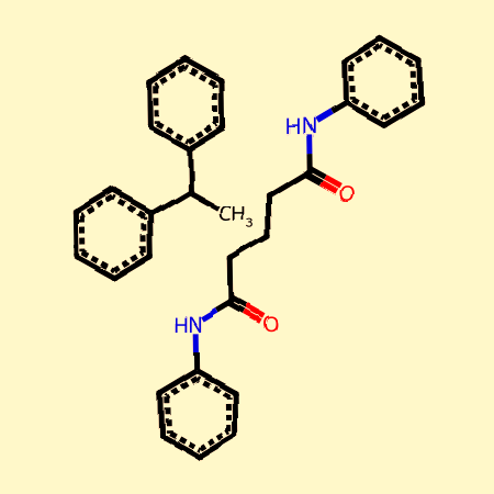 CC(c1ccccc1)c1ccccc1.O=C(CCCC(=O)Nc1ccccc1)Nc1ccccc1